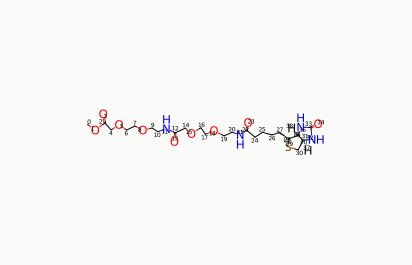 COC(=O)COCCOCCNC(=O)COCCOCCNC(=O)CCCC[C@@H]1SC[C@@H]2NC(=O)N[C@@H]21